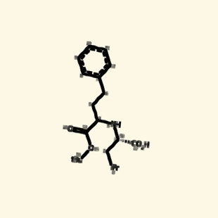 CC(C)C[C@H](NC(CCc1ccccc1)C(=O)OC(C)(C)C)C(=O)O